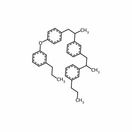 CCCc1cccc(Oc2ccc(CC(C)c3cccc(CC(C)c4cccc(CCC)c4)c3)cc2)c1